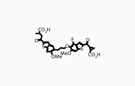 COc1cc2sc(C(=O)CC(C)C(=O)O)cc2cc1CCCOc1c(OC)cc2sc(C(=O)C3CC3C(=O)O)cc2c1F